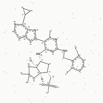 Cc1nc(NCc2c(F)cccc2F)nc(N[C@@H]2C[C@H](CS(C)(=O)=O)[C@H]3OC(C)(C)O[C@H]32)c1-c1nc2c(C3CC3)nccc2s1